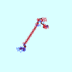 COC(CC[C@H](C)/C=C(\C)[C@@H](O)[C@@H](O)C(C)(O)[C@H](C)C[C@H](C)/C=C/C=C/C=C(\C)[C@H](C[C@@H]1CCC[C@](O)(C(=O)C(=O)N2CCCCC2)O1)OC)[C@H](N)C[C@H]1CC[C@H](OC(=O)NCCOCCOCCOCCOCCOCCOCCOCCOCCOCCOCCC(=O)N2CCc3cc(Cn4nc(-c5cnc6[nH]ccc6c5)c5c(N)ncnc54)ccc3C2)CC1